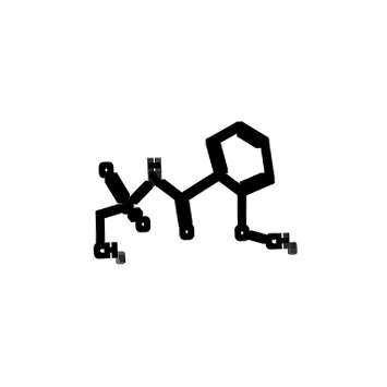 CCS(=O)(=O)NC(=O)c1ccccc1OC